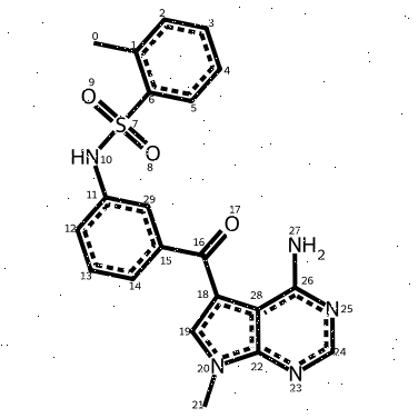 Cc1ccccc1S(=O)(=O)Nc1cccc(C(=O)c2cn(C)c3ncnc(N)c23)c1